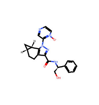 O=C(N[C@H](CO)c1ccccc1)c1nn(-c2cncc[n+]2[O-])c2c1CC[C@@H]1C[C@H]21